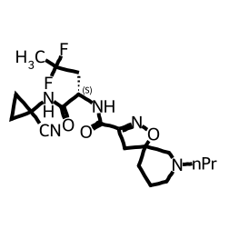 CCCN1CCCC2(CC(C(=O)N[C@@H](CC(C)(F)F)C(=O)NC3(C#N)CC3)=NO2)C1